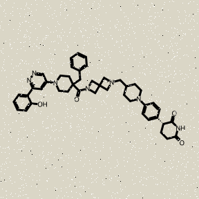 O=C1CC[C@H](c2ccc(N3CCC(CN4CC5(C4)CN(C(=O)C4(Cc6ccccc6)CCN(c6cnnc(-c7ccccc7O)c6)CC4)C5)CC3)cc2)C(=O)N1